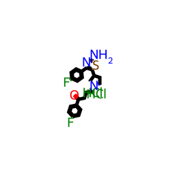 Cl.Cl.Nc1nc(-c2ccc(F)cc2)c(C2CCN(CCCC(=O)c3ccc(F)cc3)C2)s1